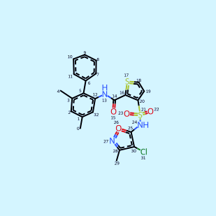 Cc1cc(C)c(-c2ccccc2)c(NC(=O)c2sccc2S(=O)(=O)Nc2onc(C)c2Cl)c1